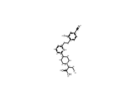 N#Cc1ccc(CCc2cccc(C3CCN(C(CF)C(=O)O)CC3)n2)c(F)c1